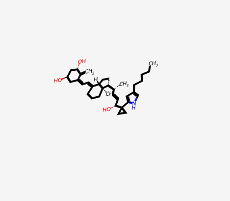 C=C1/C(=C\C=C2/CCC[C@]3(C)[C@@H]([C@H](C)/C=C/[C@@H](O)C4(c5cc(CCCCC)c[nH]5)CC4)CC[C@@H]23)C[C@@H](O)C[C@@H]1O